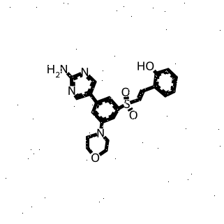 Nc1ncc(-c2cc(N3CCOCC3)cc(S(=O)(=O)/C=C/c3ccccc3O)c2)cn1